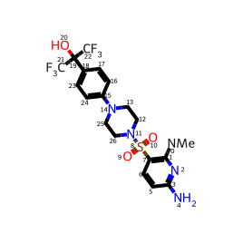 CNc1nc(N)ccc1S(=O)(=O)N1CCN(c2ccc(C(O)(C(F)(F)F)C(F)(F)F)cc2)CC1